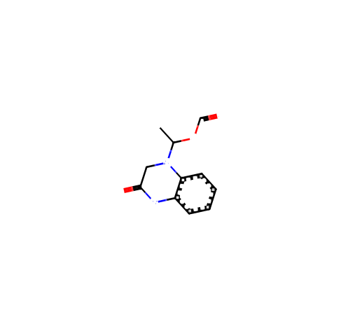 CC(OC=O)N1CC(=O)Nc2ccccc21